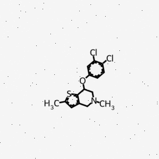 Cc1cc2c(s1)C(Oc1ccc(Cl)c(Cl)c1)CN(C)C2